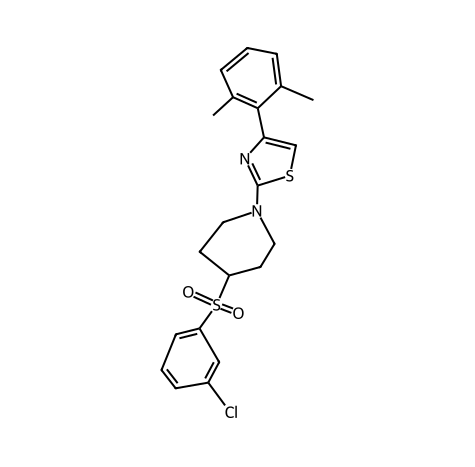 Cc1cccc(C)c1-c1csc(N2CCC(S(=O)(=O)c3cccc(Cl)c3)CC2)n1